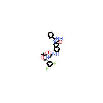 CC1(C)OC[C@@H](c2cc(F)cc(F)c2)N(CC(=O)Nc2ccc3c(c2)CC2(C3)N=C(c3ccccc3)NC2=O)C1=O